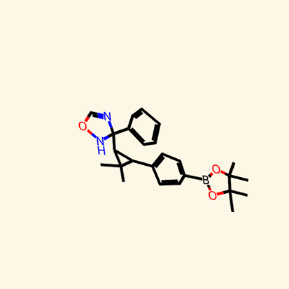 CC1(C)C(c2ccc(B3OC(C)(C)C(C)(C)O3)cc2)C1C1(c2ccccc2)N=CON1